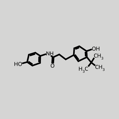 CC(C)(C)c1cc(CCC(=O)Nc2ccc(O)cc2)ccc1O